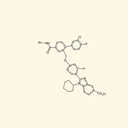 CC(C)NC(=O)c1ccc(-c2ccc(F)c(Cl)c2)c(COc2ccc(-c3nc4cc(C(=O)O)ccc4n3C3CCCCC3)c(F)c2)c1